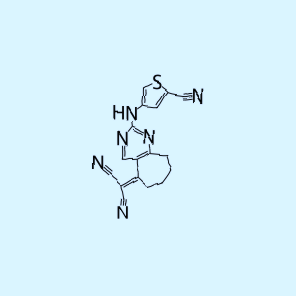 N#CC(C#N)=C1CCCCc2nc(Nc3csc(C#N)c3)ncc21